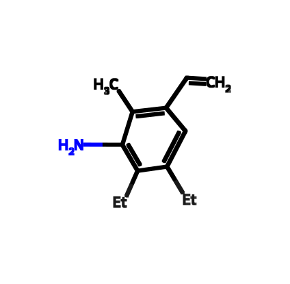 C=Cc1cc(CC)c(CC)c(N)c1C